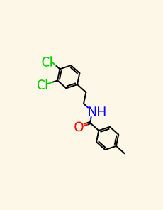 Cc1ccc(C(=O)NCCc2ccc(Cl)c(Cl)c2)cc1